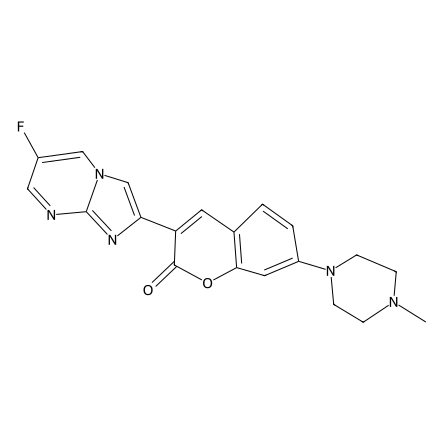 CN1CCN(c2ccc3cc(-c4cn5cc(F)cnc5n4)c(=O)oc3c2)CC1